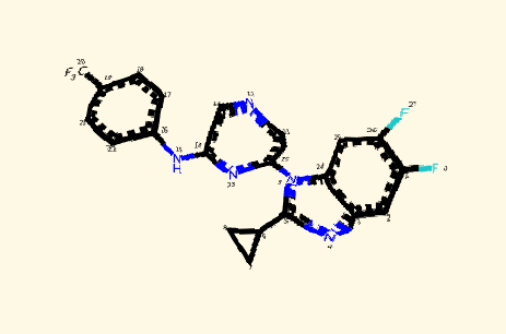 Fc1cc2nc(C3CC3)n(-c3cncc(Nc4ccc(C(F)(F)F)cc4)n3)c2cc1F